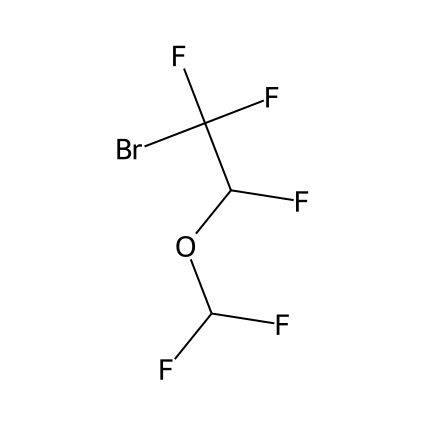 FC(F)OC(F)C(F)(F)Br